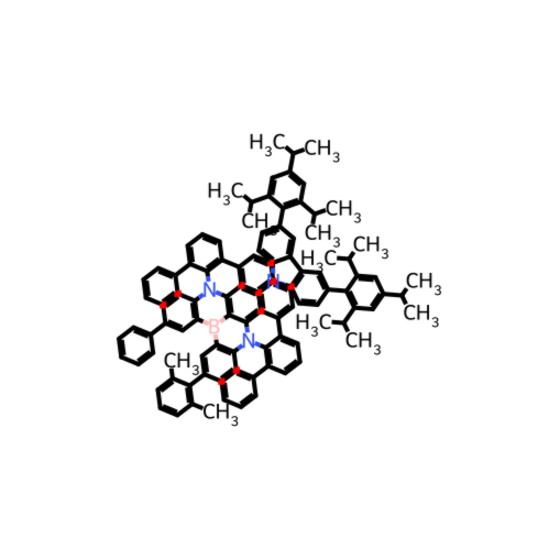 Cc1cccc(C)c1-c1ccc2c(c1)B1c3cc(-c4ccccc4)ccc3N(c3c(-c4ccccc4)cccc3-c3ccccc3)c3cc(-n4c5ccc(-c6c(C(C)C)cc(C(C)C)cc6C(C)C)cc5c5cc(-c6c(C(C)C)cc(C(C)C)cc6C(C)C)ccc54)cc(c31)N2c1c(-c2ccccc2)cccc1-c1ccccc1